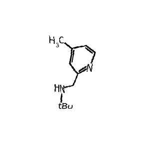 Cc1ccnc(CNC(C)(C)C)c1